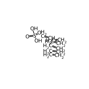 C=C.C=C.C=C.C=C.C=C.C=C.O=S(=O)(O)O